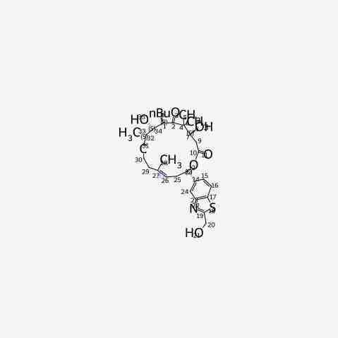 CCCC[C@H]1C(=O)C(C)(C)[C@@H](O)CC(=O)O[C@H](c2ccc3sc(CO)nc3c2)C/C=C(\C)CCC[C@H](C)[C@@H]1O